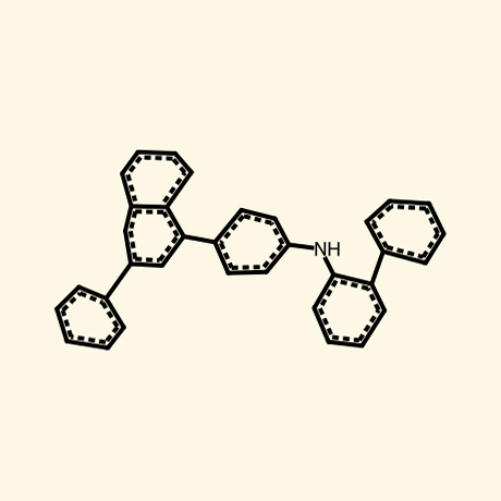 c1ccc(-c2cc(-c3ccc(Nc4ccccc4-c4ccccc4)cc3)c3ccccc3c2)cc1